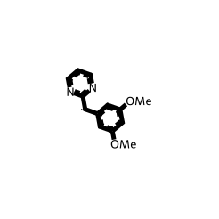 COc1cc([CH]c2ncccn2)cc(OC)c1